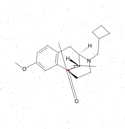 COc1ccc2c(c1)[C@]13CCN(CC4CCC4)[C@H](C2)[C@@H]1C(C)CC(=O)C3